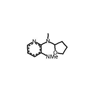 C[N]c1cccnc1N(C)C1CCCO1